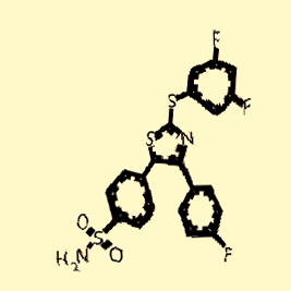 NS(=O)(=O)c1ccc(-c2sc(Sc3cc(F)cc(F)c3)nc2-c2ccc(F)cc2)cc1